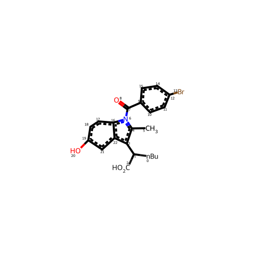 CCCCC(C(=O)O)c1c(C)n(C(=O)c2ccc(Br)cc2)c2ccc(O)cc12